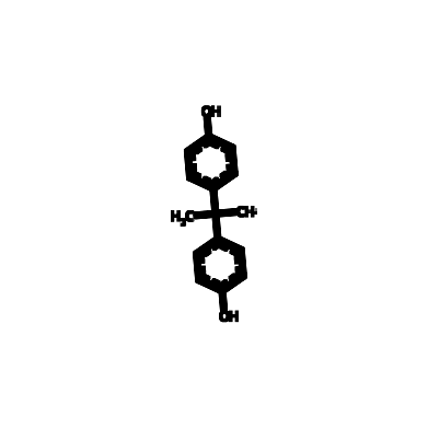 [CH]C(C)(c1ccc(O)cc1)c1ccc(O)cc1